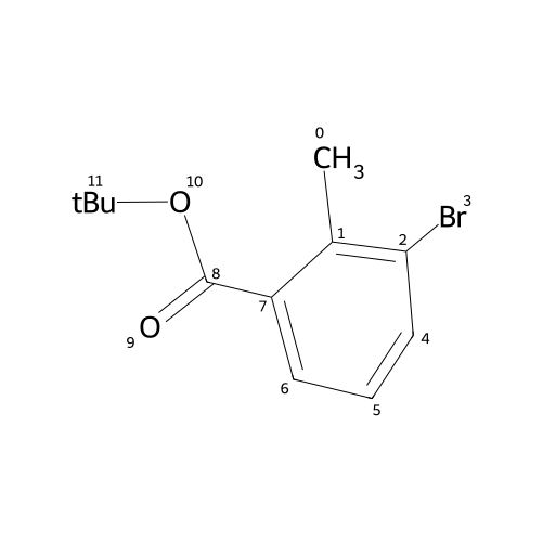 Cc1c(Br)cccc1C(=O)OC(C)(C)C